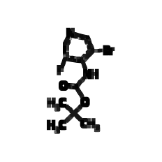 CC(C)(C)OC(=O)Nc1c(F)cncc1Br